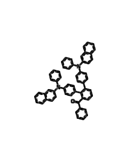 O=C(c1ccccc1)c1cccc(-c2ccc(N(c3ccccc3)c3ccc4ccccc4c3)cc2)c1-c1ccc(N(c2ccccc2)c2ccc3ccccc3c2)cc1